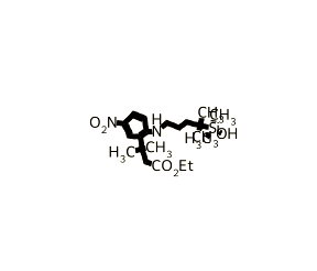 CCOC(=O)CC(C)(C)c1cc([N+](=O)[O-])ccc1NCCCC(C)(C)[Si](C)(C)O